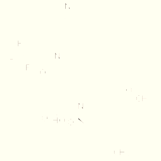 COC1CCC(N(c2ccc(Oc3ncc(Cc4ccccn4)cc3C(F)(F)F)cc2C(=O)O)C(=O)[C@H]2CC[C@H](C)CC2)CC1